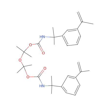 C=C(C)c1cccc(C(C)(C)NC(=O)OC(C)(C)OC(C)(C)OC(=O)NC(C)(C)c2cccc(C(=C)C)c2)c1